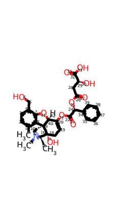 Cc1ccc(CO)c2c1[C@]13CCN(C)[C@H](C)[C@]1(O)CC=C(OC(=O)[C@@H](OC(=O)C[C@H](O)C(=O)O)c1ccccc1)[C@@H]3O2